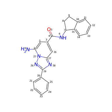 Nc1cc(C(=O)NC2CCc3ccccc32)cc2nc(-c3ccccc3)nn12